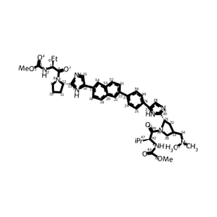 CC[C@H](NC(=O)OC)C(=O)N1CCC[C@H]1c1ncc(-c2ccc3cc(-c4ccc(-c5cnc([C@@H]6CC(CN(C)C)CN6C(=O)[C@@H](NC(=O)OC)C(C)C)[nH]5)cc4)ccc3c2)[nH]1